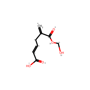 C=C(CC=CC(=O)O)C(=O)OCO